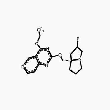 F[C@H]1CN2CCC[C@@]2(COc2nc(OCC(F)(F)F)c3cnccc3n2)C1